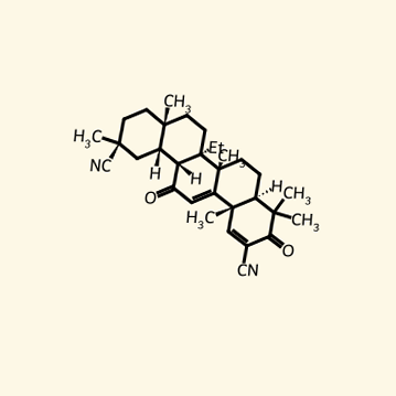 CC[C@@]12CC[C@@]3(C)CC[C@](C)(C#N)C[C@H]3[C@H]1C(=O)C=C1[C@@]3(C)C=C(C#N)C(=O)C(C)(C)[C@@H]3CC[C@]12C